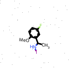 COc1ccc(F)cc1C(C)NI